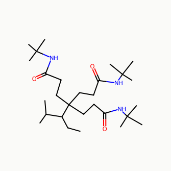 CCC(C(C)C)C(CCC(=O)NC(C)(C)C)(CCC(=O)NC(C)(C)C)CCC(=O)NC(C)(C)C